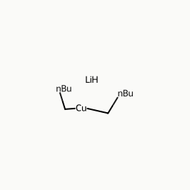 CCCC[CH2][Cu][CH2]CCCC.[LiH]